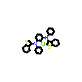 Clc1c(N(c2ccccc2)c2csc3ccccc23)cccc1N(c1ccccc1)c1csc2ccccc12